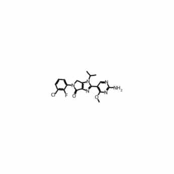 COc1nc(N)ncc1-c1nc2c(n1C(C)C)CN(c1cccc(Cl)c1F)C2=O